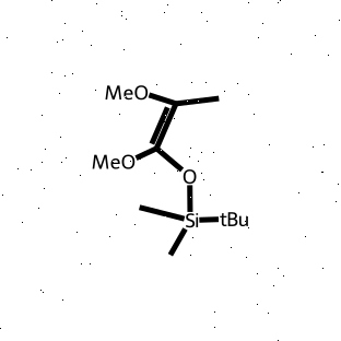 CO/C(C)=C(\OC)O[Si](C)(C)C(C)(C)C